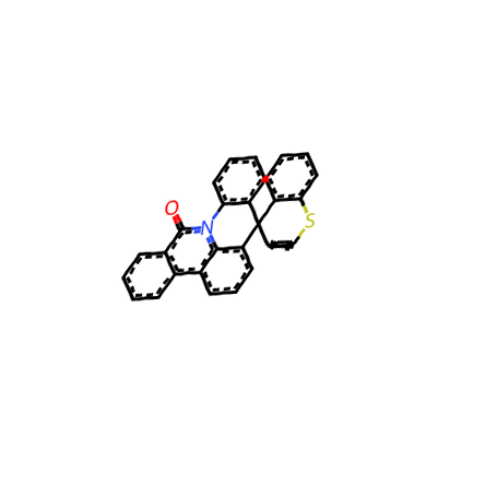 O=c1c2ccccc2c2cccc3c2n1-c1ccccc1C31c2ccccc2Sc2ccccc21